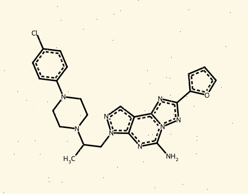 CC(Cn1ncc2c1nc(N)n1nc(-c3ccco3)nc21)N1CCN(c2ccc(Cl)cc2)CC1